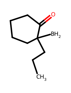 BC1(CCC)CCCCC1=O